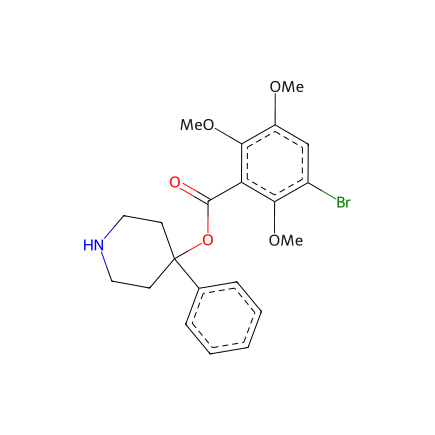 COc1cc(Br)c(OC)c(C(=O)OC2(c3ccccc3)CCNCC2)c1OC